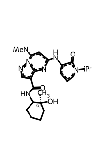 CNc1cc(Nc2cccn(C(C)C)c2=O)nc2c(C(=O)NC3CCCC[C@]3(C)O)cnn12